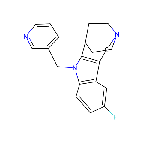 Fc1ccc2c(c1)c1c(n2Cc2cccnc2)C2CCN(CC2)C1